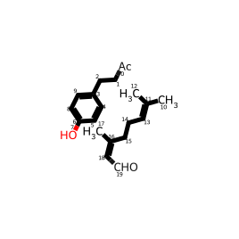 CC(=O)CCc1ccc(O)cc1.CC(C)=CCCC(C)=CC=O